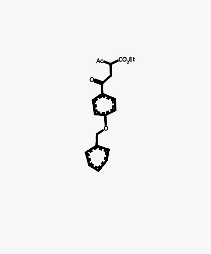 CCOC(=O)C(CC(=O)c1ccc(OCc2ccccc2)cc1)C(C)=O